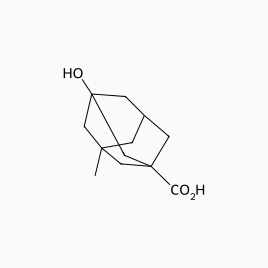 CC12CC3CC(O)(C1)CC(C(=O)O)(C3)C2